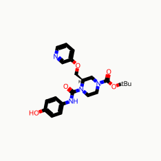 CC(C)(C)OC(=O)N1CCN(C(=O)Nc2ccc(O)cc2)[C@@H](COc2cccnc2)C1